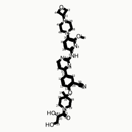 COc1nc(Nc2nccc(-c3ccc(OC4(C)CCN(C(=O)[C@@H](O)CO)CC4)c(C#N)c3)n2)ccc1N1CCN(C2COC2)CC1